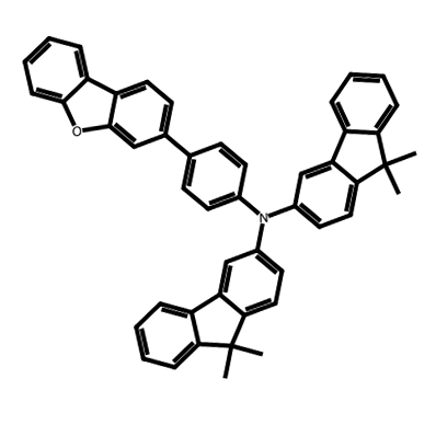 CC1(C)c2ccccc2-c2cc(N(c3ccc(-c4ccc5c(c4)oc4ccccc45)cc3)c3ccc4c(c3)-c3ccccc3C4(C)C)ccc21